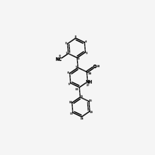 N#Cc1ccccc1-c1ccc(-c2ccccc2)[nH]c1=O